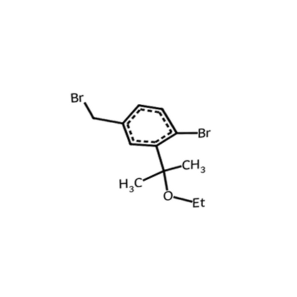 CCOC(C)(C)c1cc(CBr)ccc1Br